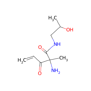 C=CC(=O)C(C)(N)C(=O)NCC(C)O